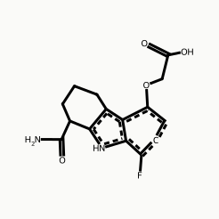 NC(=O)C1CCCc2c1[nH]c1c(F)ccc(OCC(=O)O)c21